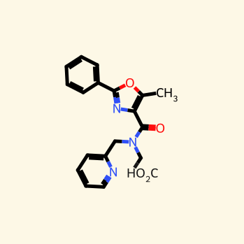 Cc1oc(-c2ccccc2)nc1C(=O)N(CC(=O)O)Cc1ccccn1